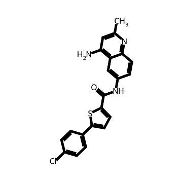 Cc1cc(N)c2cc(NC(=O)c3ccc(-c4ccc(Cl)cc4)s3)ccc2n1